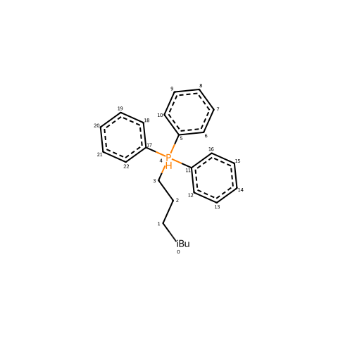 CCC(C)CCC[PH](c1ccccc1)(c1ccccc1)c1ccccc1